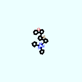 c1ccc(-c2nc(-c3ccccc3)nc(-c3cccc4sc5c(-c6cccc7oc8ccccc8c67)cccc5c34)n2)cc1